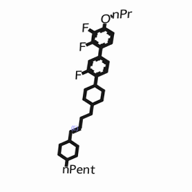 CCCCCC1CCC(/C=C/CCC2CCC(c3ccc(-c4ccc(OCCC)c(F)c4F)cc3F)CC2)CC1